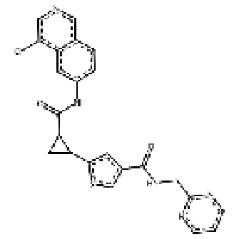 O=C(NCc1ncccn1)c1csc(C2C[C@H]2C(=O)Nc2ccc3cncc(Cl)c3c2)c1